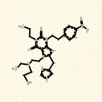 CCCn1c(=O)c2c(nc(Cc3cscn3)n2CCN(CC)CCO)n(CCc2ccc([N+](=O)[O-])cc2)c1=O